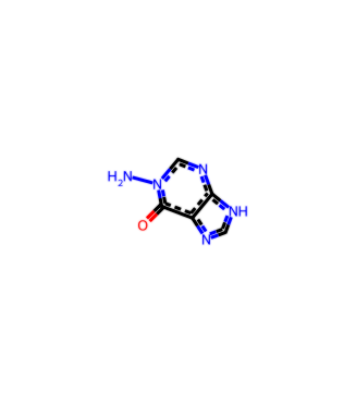 Nn1cnc2[nH]cnc2c1=O